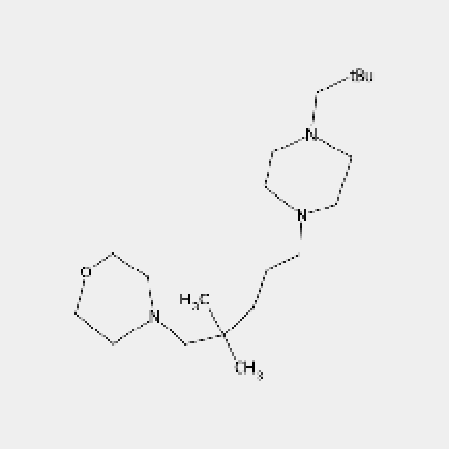 CC(C)(C)CN1CCN(CCCC(C)(C)CN2CCOCC2)CC1